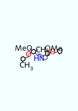 COc1cc(C)c(/C=C/C2NCCc3cc(OCc4ccccc4)c(OC)cc32)cc1OCc1cccc(C)c1